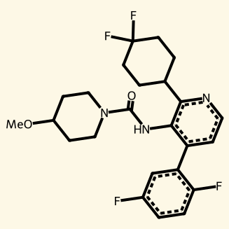 COC1CCN(C(=O)Nc2c(-c3cc(F)ccc3F)ccnc2C2CCC(F)(F)CC2)CC1